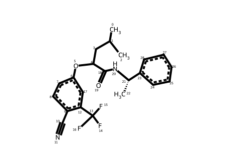 CC(C)CC(Oc1ccc(C#N)c(C(F)(F)F)c1)C(=O)N[C@@H](C)c1ccccc1